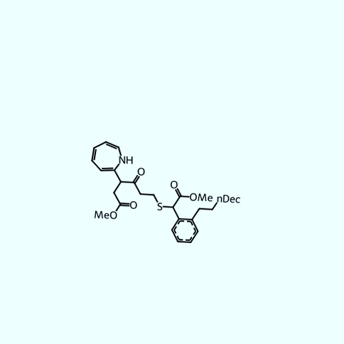 CCCCCCCCCCCCc1ccccc1C(SCCC(=O)C(CC(=O)OC)C1=CC=CC=CN1)C(=O)OC